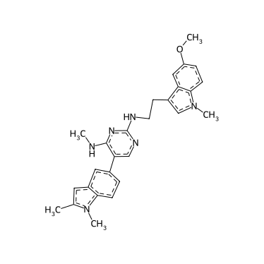 CNc1nc(NCCc2cn(C)c3ccc(OC)cc23)ncc1-c1ccc2c(c1)cc(C)n2C